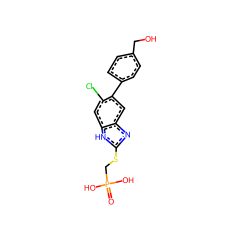 O=P(O)(O)CSc1nc2cc(-c3ccc(CO)cc3)c(Cl)cc2[nH]1